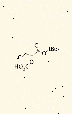 CC(C)(C)OC(=O)C(CCl)OC(=O)O